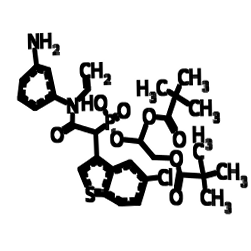 C=CN(C(=O)C(c1csc2ccc(Cl)cc12)P(=O)(O)OC(COC(=O)C(C)(C)C)OC(=O)C(C)(C)C)c1cccc(N)c1